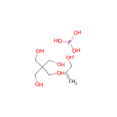 C=CCO.OCC(CO)(CO)CO.OP(O)O